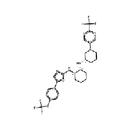 FC(F)(F)Oc1ccc(-c2cnc(N[C@@H]3CCCC[C@H]3N[C@H]3CCCN(c4cnc(C(F)(F)F)nc4)C3)o2)cc1